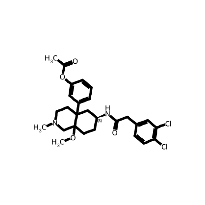 COC12CC[C@H](NC(=O)Cc3ccc(Cl)c(Cl)c3)CC1(c1cccc(OC(C)=O)c1)CCN(C)C2